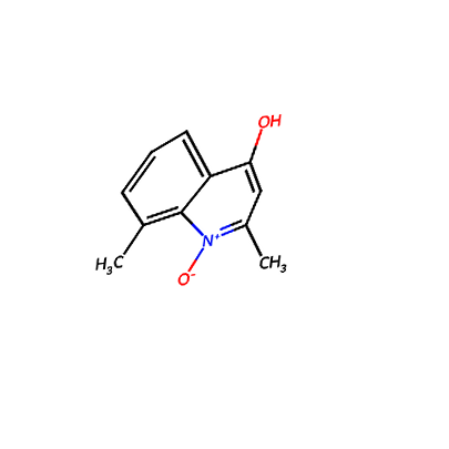 Cc1cccc2c(O)cc(C)[n+]([O-])c12